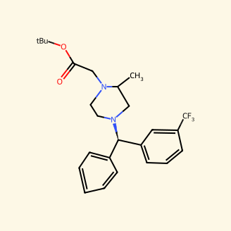 CC1CN([C@H](c2ccccc2)c2cccc(C(F)(F)F)c2)CCN1CC(=O)OC(C)(C)C